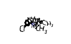 CCOC(=O)N(CC)/N=C(\C)c1cc(Cl)ccc1N